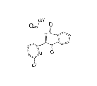 O=C1C=C(c2cccc(Cl)n2)C(=O)c2ccccc21.O=CO